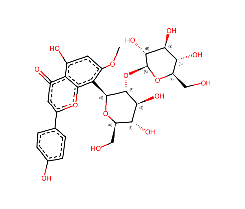 COc1cc(O)c2c(=O)cc(-c3ccc(O)cc3)oc2c1[C@@H]1O[C@H](CO)[C@@H](O)[C@H](O)[C@H]1O[C@@H]1O[C@H](CO)[C@@H](O)[C@H](O)[C@H]1O